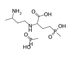 CC(N)CCNC(CCP(C)(=O)O)C(=O)O.C[PH](=O)O